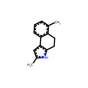 Cc1cc2c([nH]1)CCc1c(C)cccc1-2